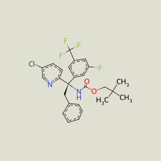 CC(C)(C)COC(=O)N[C@@](Cc1ccccc1)(c1cc(F)cc(C(F)(F)F)c1)c1ccc(Cl)cn1